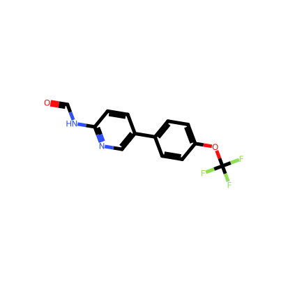 O=CNc1ccc(-c2ccc(OC(F)(F)F)cc2)cn1